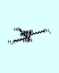 CCCCCCCCCC[C@@H](C(=O)O)C(C)CC(C(=O)O)C(CCCCCCCCC)SC[C@H](N)C(=O)NCCO